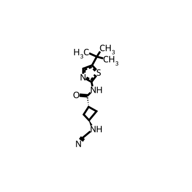 CC(C)(C)c1cnc(NC(=O)[C@H]2C[C@H](NC#N)C2)s1